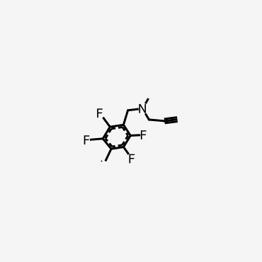 C#CCN(C)Cc1c(F)c(F)c([CH2])c(F)c1F